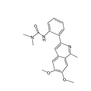 COc1cc2cc(-c3ccccc3NC(=O)N(C)C)nc(C)c2cc1OC